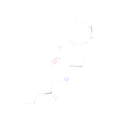 CCOC(=O)C(=O)N[C@H]1COc2ccc(Br)cc2N(C)C1=O